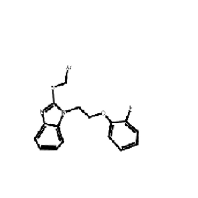 CC(=O)CSc1nc2ccccc2n1CCOc1ccccc1F